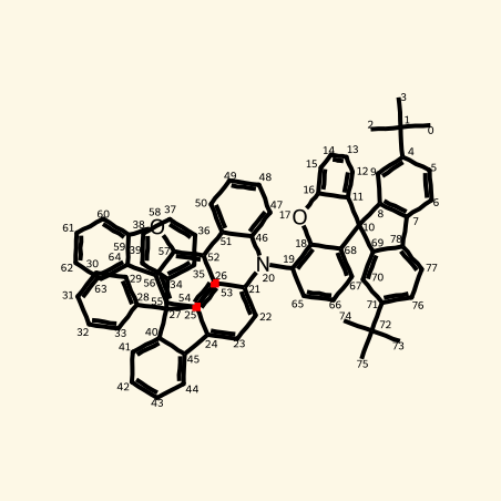 CC(C)(C)c1ccc2c(c1)C1(c3ccccc3Oc3c(N(c4ccc5c(c4)C(c4ccccc4)(c4ccccc4)c4ccccc4-5)c4ccccc4-c4cccc5c4oc4ccccc45)cccc31)c1cc(C(C)(C)C)ccc1-2